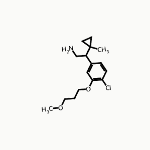 COCCCOc1cc(C(CN)C2(C)CC2)ccc1Cl